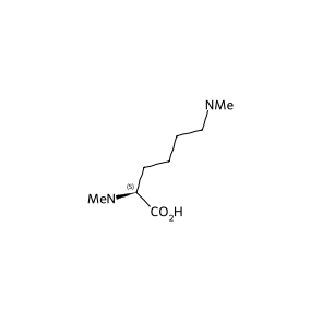 CNCCCC[C@H](NC)C(=O)O